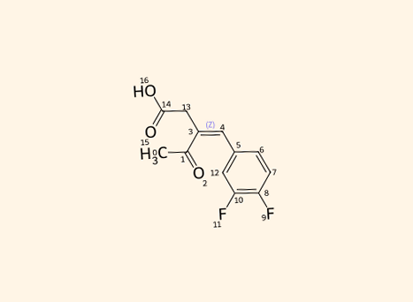 CC(=O)/C(=C\c1ccc(F)c(F)c1)CC(=O)O